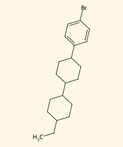 CCC1CCC(C2CCC(c3ccc(Br)cc3)CC2)CC1